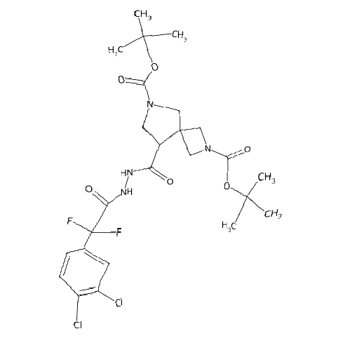 CC(C)(C)OC(=O)N1CC(C(=O)NNC(=O)C(F)(F)c2ccc(Cl)c(Cl)c2)C2(C1)CN(C(=O)OC(C)(C)C)C2